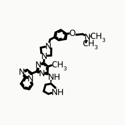 Cc1c(N[C@@H]2CCCNC2)nc(-c2cnc3ccccn23)nc1N1CCN(Cc2ccc(OCCN(C)C)cc2)CC1